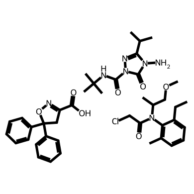 CC(C)c1nn(C(=O)NC(C)(C)C)c(=O)n1N.CCc1cccc(C)c1N(C(=O)CCl)C(C)COC.O=C(O)C1=NOC(c2ccccc2)(c2ccccc2)C1